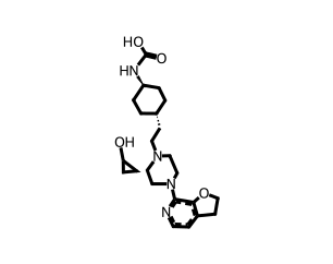 O=C(O)N[C@H]1CC[C@H](CCN2CCN(c3nccc4c3OCC4)CC2)CC1.OC1CC1